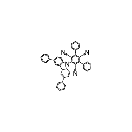 N#Cc1c(-c2ccccc2)c(C#N)c(N2c3ccc(-c4ccccc4)cc3C3C=C(c4ccccc4)C=CC32)c(C#N)c1-c1ccccc1